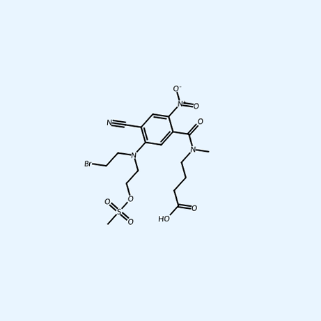 CN(CCCC(=O)O)C(=O)c1cc(N(CCBr)CCOS(C)(=O)=O)c(C#N)cc1[N+](=O)[O-]